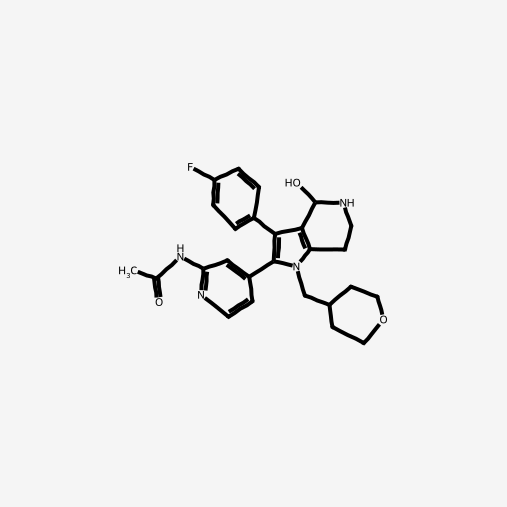 CC(=O)Nc1cc(-c2c(-c3ccc(F)cc3)c3c(n2CC2CCOCC2)CCNC3O)ccn1